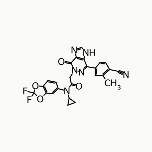 Cc1cc(-c2nn(CC(=O)N(c3ccc4c(c3)OC(F)(F)O4)C3CC3)c(=O)c3nc[nH]c23)ccc1C#N